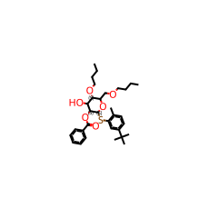 CCCCOCC1O[C@@H](Sc2cc(C(C)(C)C)ccc2C)[C@@H](OC(=O)c2ccccc2)C(O)[C@@H]1OCCCC